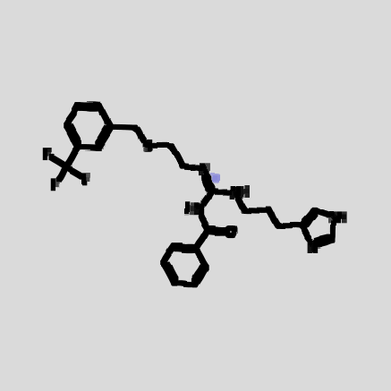 O=C(N/C(=N\CCSCc1cccc(C(F)(F)F)c1)NCCCc1c[nH]cn1)c1ccccc1